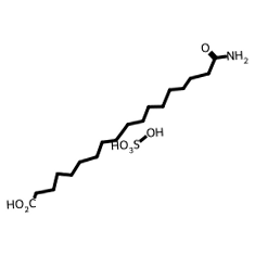 NC(=O)CCCCCCCCCCCCCCCCC(=O)O.O=S(=O)(O)O